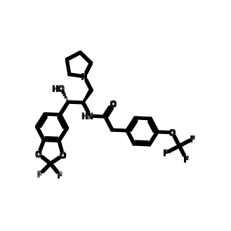 O=C(Cc1ccc(OC(F)(F)F)cc1)N[C@H](CN1CCCC1)[C@@H](O)c1ccc2c(c1)OC(F)(F)O2